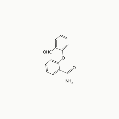 NC(=O)c1ccccc1Oc1ccccc1C=O